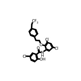 O=C(Nc1cc(Cl)cc(Cl)c1OCCc1ccc(CC(F)(F)F)cc1)c1cc(Cl)ccc1O